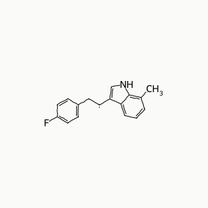 Cc1cccc2c([CH]Cc3ccc(F)cc3)c[nH]c12